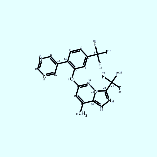 Cc1cc(Oc2cc(C(F)(F)F)ccc2-c2cncnc2)nn2c(C(F)(F)F)nnc12